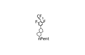 CCCCCC1CCC2CC(c3cc(F)c(/C=C/C(F)(F)F)c(F)c3)CCC2C1